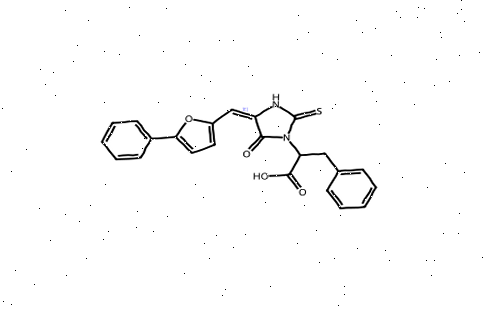 O=C(O)C(Cc1ccccc1)N1C(=O)/C(=C\c2ccc(-c3ccccc3)o2)NC1=S